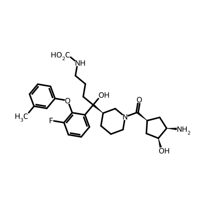 Cc1cccc(Oc2c(F)cccc2C(O)(CCCNC(=O)O)[C@@H]2CCCN(C(=O)[C@H]3C[C@@H](N)[C@@H](O)C3)C2)c1